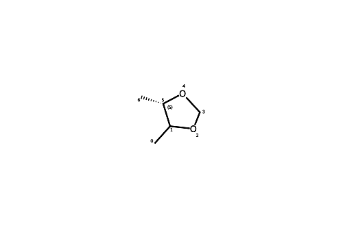 CC1OCO[C@H]1C